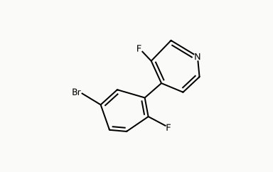 Fc1cnccc1-c1cc(Br)ccc1F